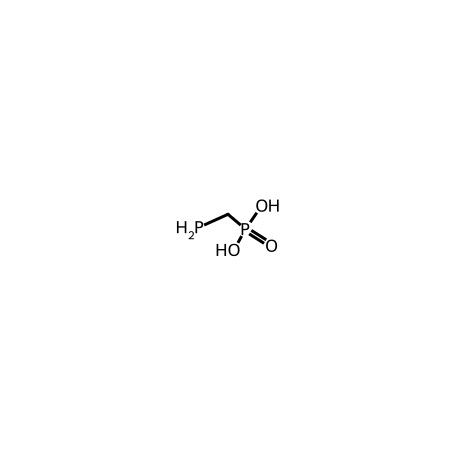 O=P(O)(O)CP